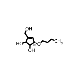 CCCCO[C@@H]1C=C(CO)C(O)C1O